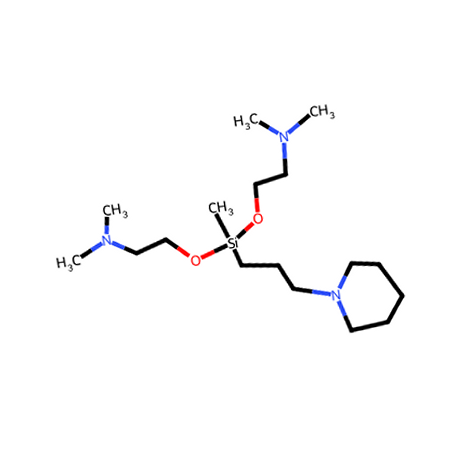 CN(C)CCO[Si](C)(CCCN1CCCCC1)OCCN(C)C